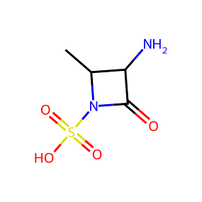 CC1C(N)C(=O)N1S(=O)(=O)O